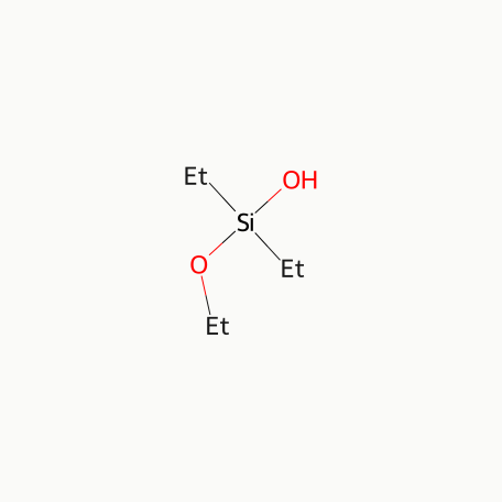 CCO[Si](O)(CC)CC